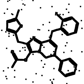 CC(=O)Oc1c(Cc2ccc(C)o2)nc2n1CN(c1ccccc1)C=C2Cc1ccccc1F